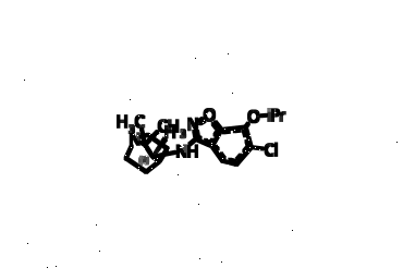 CC(C)Oc1c(Cl)ccc2c(N[C@@H]3C4CCN(CC4)C3(C)C)noc12